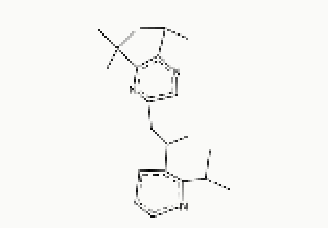 CC(C)c1ncccc1C(C)Cc1cnc(C(C)(C)C)c(C(C)(C)C)n1